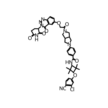 CC1(C)C(NC(=O)c2ccc(N3CC4CN(C(=O)COc5ccc6nnn(C7CCC(=O)NC7=O)c(=O)c6c5)CC4C3)cc2)C(C)(C)C1Oc1ccc(C#N)c(Cl)c1